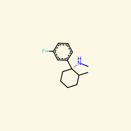 CN[C@@]1(c2cccc(F)c2)CCCCC1C